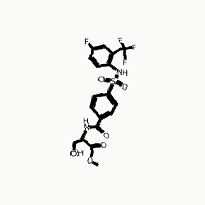 COC(=O)C(CO)NC(=O)c1ccc(S(=O)(=O)Nc2ccc(F)cc2C(F)(F)F)cc1